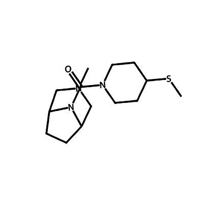 CSC1CCN(C(=O)N2C3CCC2CN(C)C3)CC1